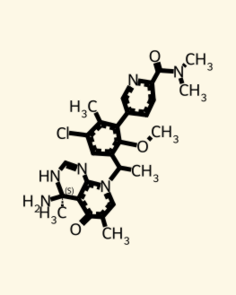 COc1c(C(C)n2cc(C)c(=O)c3c2N=CN[C@]3(C)N)cc(Cl)c(C)c1-c1ccc(C(=O)N(C)C)nc1